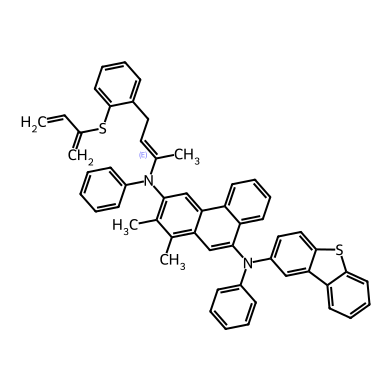 C=CC(=C)Sc1ccccc1C/C=C(\C)N(c1ccccc1)c1cc2c(cc(N(c3ccccc3)c3ccc4sc5ccccc5c4c3)c3ccccc32)c(C)c1C